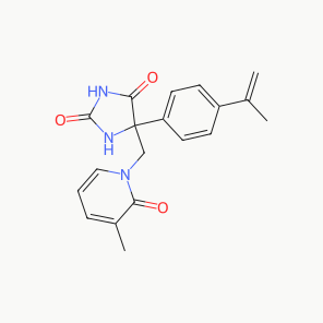 C=C(C)c1ccc(C2(Cn3cccc(C)c3=O)NC(=O)NC2=O)cc1